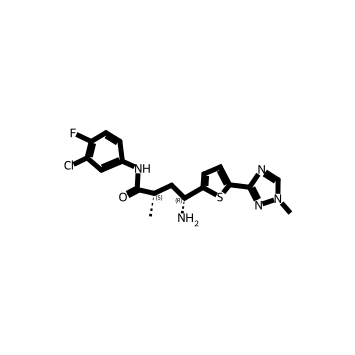 C[C@@H](C[C@@H](N)c1ccc(-c2ncn(C)n2)s1)C(=O)Nc1ccc(F)c(Cl)c1